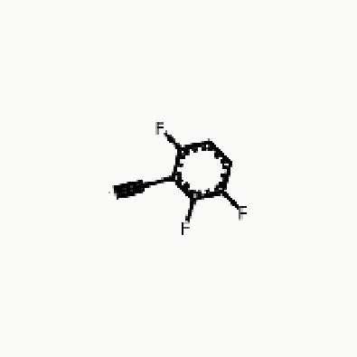 [C]#Cc1c(F)ccc(F)c1F